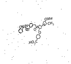 CO[C@H]1CN([C@H]2C[C@@H](CO[C@H]3CC[C@H](C(=O)O)CC3)N(C(=O)Cc3ccc(NC(=O)c4coc5ccccc45)c(Cl)c3)C2)C[C@H]1C